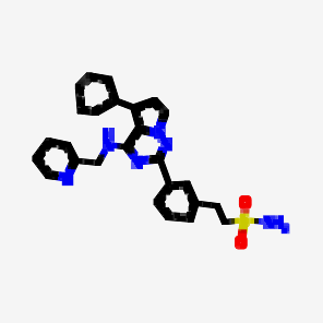 NS(=O)(=O)CCc1cccc(-c2nc(NCc3ccccn3)c3c(-c4ccccc4)ccn3n2)c1